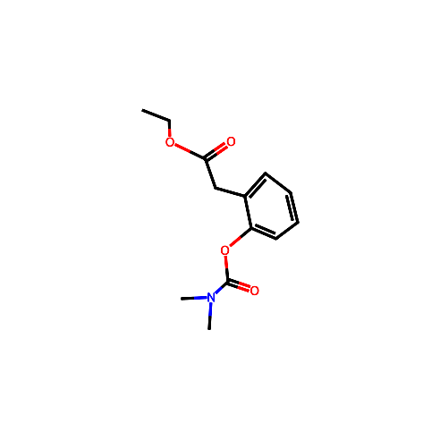 CCOC(=O)Cc1ccccc1OC(=O)N(C)C